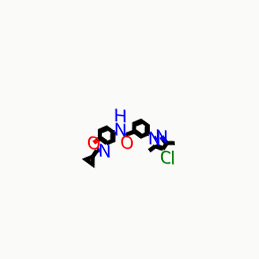 Cc1nn(-c2cccc(C(=O)Nc3ccc4oc(C5CC5)nc4c3)c2)c(C)c1Cl